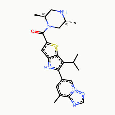 Cc1cc(-c2[nH]c3cc(C(=O)N4C[C@@H](C)NC[C@@H]4C)sc3c2C(C)C)cn2ncnc12